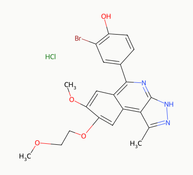 COCCOc1cc2c(cc1OC)c(-c1ccc(O)c(Br)c1)nc1[nH]nc(C)c12.Cl